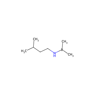 CB(C)NCCC(C)C